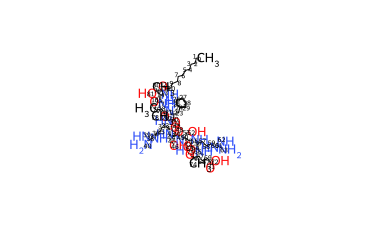 CCCCCCCCCCCC(=O)N[C@H](C(=O)N[C@H](C(=O)N[C@@H](Cc1ccccc1)C(=O)N[C@@H](CCCNC(=N)N)C(=O)N[C@@H](CO)C(=O)N[C@@H](CO)C(=O)N[C@@H](CCCNC(=N)N)C(=O)N[C@@H](CCC(=O)O)C(C)=O)C(C)C)[C@@H](C)O